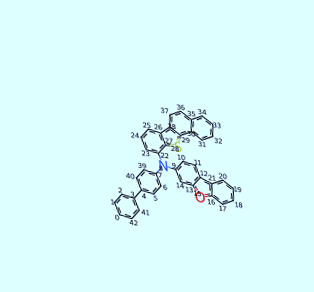 c1ccc(-c2ccc(N(c3ccc4c(c3)oc3ccccc34)c3cccc4c3sc3c5ccccc5ccc43)cc2)cc1